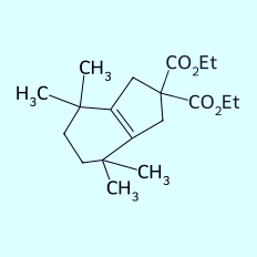 CCOC(=O)C1(C(=O)OCC)CC2=C(C1)C(C)(C)CCC2(C)C